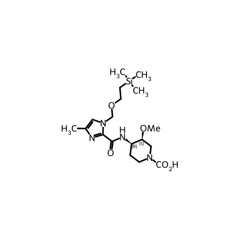 CO[C@H]1CN(C(=O)O)CC[C@H]1NC(=O)c1nc(C)cn1COCC[Si](C)(C)C